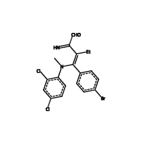 CC/C(C(=N)C=O)=C(\c1ccc(Br)cc1)N(C)c1ccc(Cl)cc1Cl